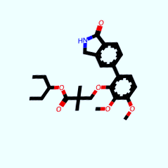 CCC(CC)OC(=O)C(C)(C)COc1c(-c2ccc3c(c2)CNC3=O)ccc(OC)c1OC